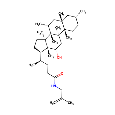 C=C(C)CNC(=O)CC[C@@H](C)[C@H]1CC[C@]2(C)[C@]1(C)[C@@H](O)C[C@]1(C)[C@@]3(C)CC[C@@H](C)C[C@@]3(C)C[C@@H](C)[C@@]21C